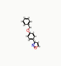 [c]1cc(-c2ccc(OCc3ccccc3)cc2)no1